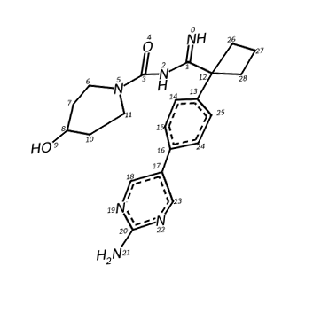 N=C(NC(=O)N1CCC(O)CC1)C1(c2ccc(-c3cnc(N)nc3)cc2)CCC1